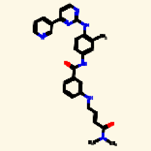 Cc1cc(NC(=O)c2cccc(NCC=CC(=O)N(C)C)c2)ccc1Nc1nccc(-c2cccnc2)n1